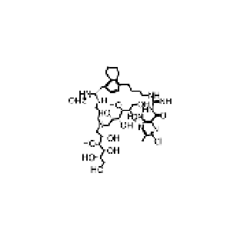 Cc1nc(N)c(C(=O)NC(=N)NCCCCc2ccc(C[C@@H](NC=O)NCCCN(C[C@H](O)[C@@H](O)[C@H](O)[C@H](O)CO)C[C@H](O)[C@@H](O)[C@H](O)[C@H](O)CO)c3c2CCCC3)nc1Cl